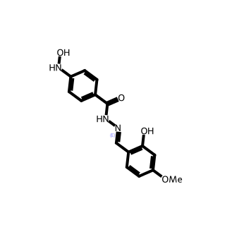 COc1ccc(/C=N/NC(=O)c2ccc(NO)cc2)c(O)c1